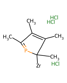 CC1=P[C](C)([Zr])C(C)=C1C.Cl.Cl.Cl